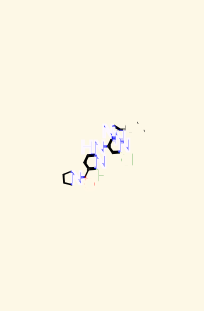 N#Cc1cnc2c(Nc3ccc(C(=O)N4CCCC4)c(F)n3)cc(Cl)nn12